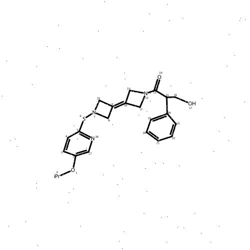 CC(C)Oc1ccc(SN2CC(=C3CN(C(=O)C(CO)c4ccccc4)C3)C2)nc1